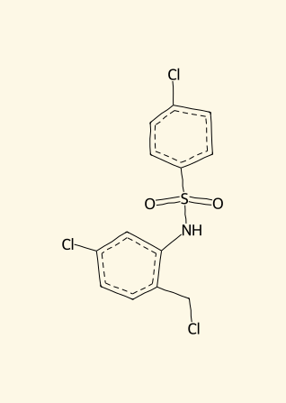 O=S(=O)(Nc1cc(Cl)ccc1CCl)c1ccc(Cl)cc1